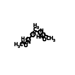 CCc1cc2ncc(C(C)N3CC=C(c4ccc(C(=O)NC)nc4)CC3)cc2[nH]c1=O